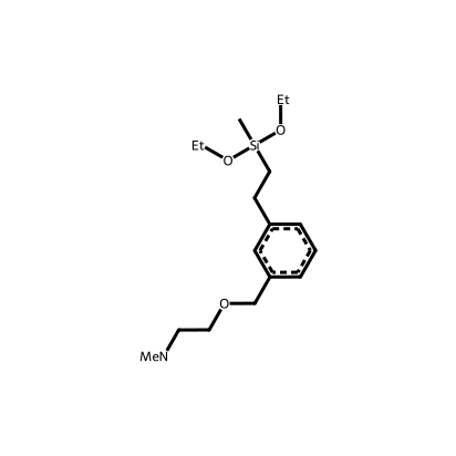 CCO[Si](C)(CCc1cccc(COCCNC)c1)OCC